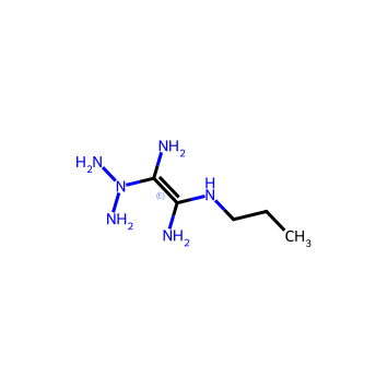 CCCN/C(N)=C(\N)N(N)N